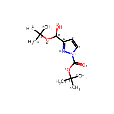 CC(C)(C)OC(=O)n1ccc(C(O)OC(C)(C)C)n1